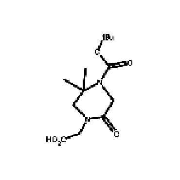 CC(C)(C)OC(=O)N1CC(=O)N(CC(=O)O)CC1(C)C